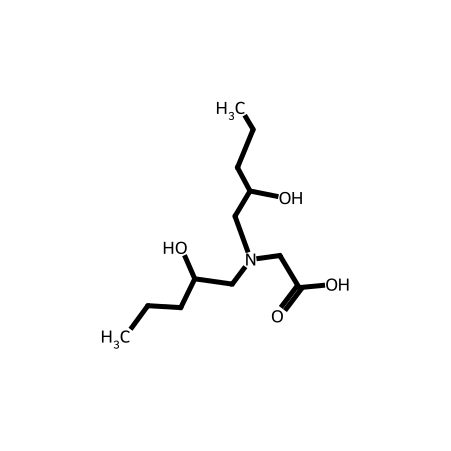 CCCC(O)CN(CC(=O)O)CC(O)CCC